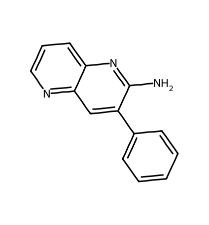 Nc1nc2cccnc2cc1-c1ccccc1